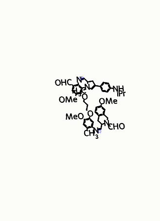 COc1ccc2c(c1)CN(C=O)C(/C=N\c1cc(OCCCOc3cc(/N=C\C4CC(c5ccc(NC(C)C)cc5)=CN4C)c(C=O)cc3OC)c(OC)cc1C)C2